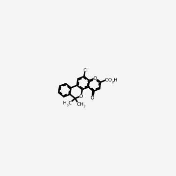 CC1(C)Oc2c(cc(Cl)c3oc(C(=O)O)cc(=O)c23)-c2ccccc21